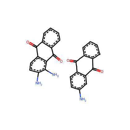 Nc1ccc2c(c1)C(=O)c1ccccc1C2=O.Nc1ccc2c(c1N)C(=O)c1ccccc1C2=O